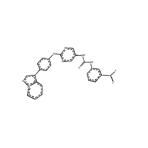 O=C(Nc1cnc(Oc2ccc(-c3cnn4cccnc34)cc2)nc1)Nc1cccc(C(F)F)c1